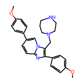 COc1ccc(-c2ccc3nc(-c4ccc(OC)cc4)c(CN4CCCNCC4)n3c2)cc1